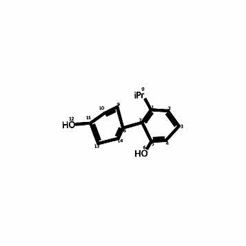 CC(C)c1cccc(O)c1-c1ccc(O)cc1